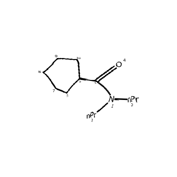 CCCN(CCC)C(=O)C1CCCCC1